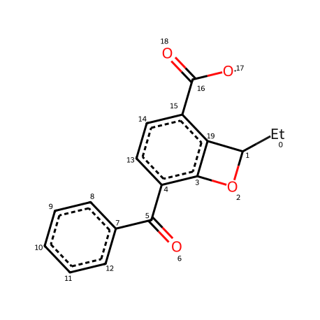 CCC1Oc2c(C(=O)c3ccccc3)ccc(C([O])=O)c21